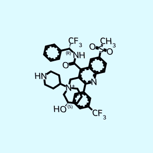 CS(=O)(=O)c1ccc2nc(-c3cccc(C(F)(F)F)c3)c(C[N+]3(C4CCNCC4)CCC[C@H](O)C3)c(C(=O)N[C@H](c3ccccc3)C(F)(F)F)c2c1